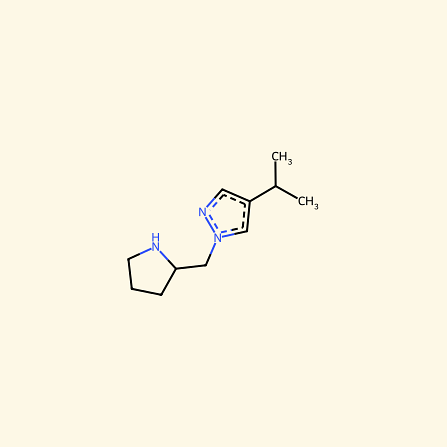 CC(C)c1cnn(CC2CCCN2)c1